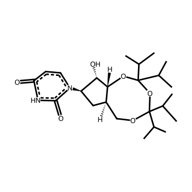 CC(C)C1(C(C)C)OC[C@H]2C[C@@H](n3ccc(=O)[nH]c3=O)[C@H](O)[C@@H]2OC(C(C)C)(C(C)C)O1